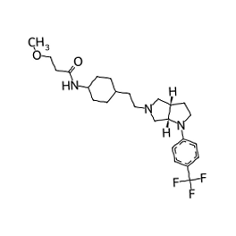 COCCC(=O)NC1CCC(CCN2C[C@@H]3CCN(c4ccc(C(F)(F)F)cc4)[C@@H]3C2)CC1